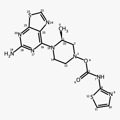 C[C@H]1CN(OC(=O)Nc2nccs2)CCN1c1nc(N)nc2scnc12